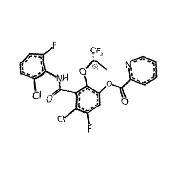 C[C@H](Oc1c(OC(=O)c2ccccn2)cc(F)c(Cl)c1C(=O)Nc1c(F)cccc1Cl)C(F)(F)F